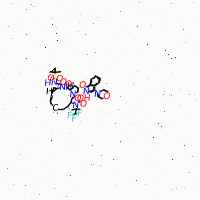 C[C@@H]1CCC=C[C@@H]2C[C@@]2(C(=O)NS(=O)(=O)C2(C)CC2)NC(=O)[C@@H]2C[C@@H](Oc3ncc(N4CCOCC4)c4ccccc34)CN2C(=O)[C@@H](N(C(=O)O)C(C)(C)C(F)(F)F)[C@H](C)C1